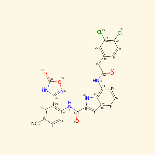 N#Cc1ccc(NC(=O)c2cc3cccc(NC(=O)Cc4ccc(Cl)c(Cl)c4)c3[nH]2)c(-c2noc(=O)[nH]2)c1